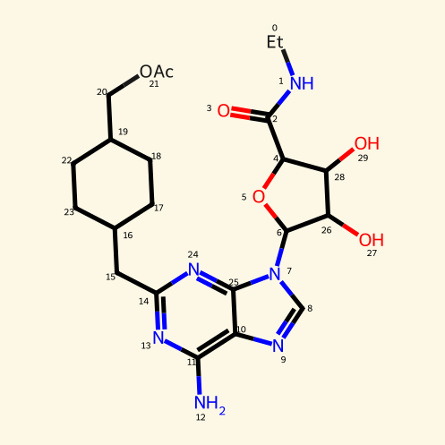 CCNC(=O)C1OC(n2cnc3c(N)nc(CC4CCC(COC(C)=O)CC4)nc32)C(O)C1O